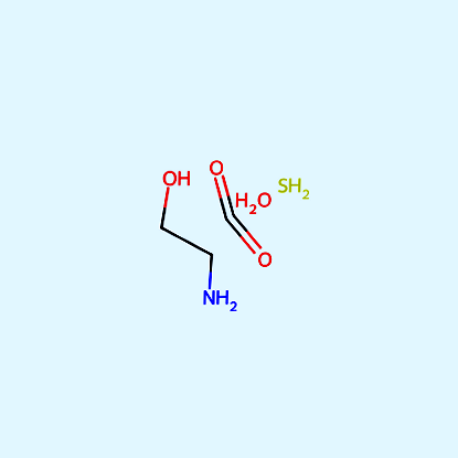 NCCO.O.O=C=O.S